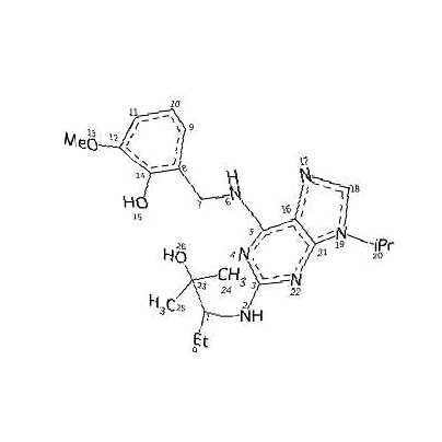 CCC(Nc1nc(NCc2cccc(OC)c2O)c2ncn(C(C)C)c2n1)C(C)(C)O